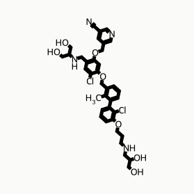 Cc1c(COc2cc(OCc3cncc(C#N)c3)c(CNC(CO)CO)cc2Cl)cccc1-c1cccc(OCCCNCC(O)CO)c1Cl